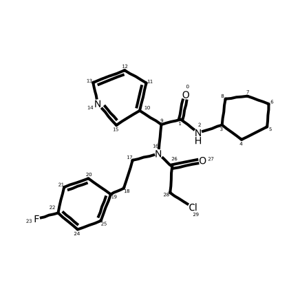 O=C(NC1CCCCC1)C(c1cccnc1)N(CCc1ccc(F)cc1)C(=O)CCl